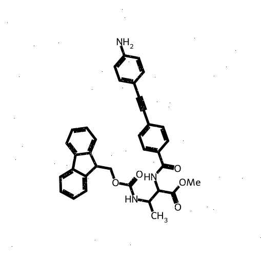 COC(=O)C(NC(=O)c1ccc(C#Cc2ccc(N)cc2)cc1)C(C)NC(=O)OCC1c2ccccc2-c2ccccc21